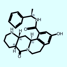 C[C@@H](NC(=O)c1cc(O)cc2c1[C@@H]1C[C@H]3NCCC[C@H]3C(=O)N1CC2)c1ccccc1